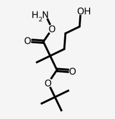 CC(C)(C)OC(=O)C(C)(CCCO)C(=O)ON